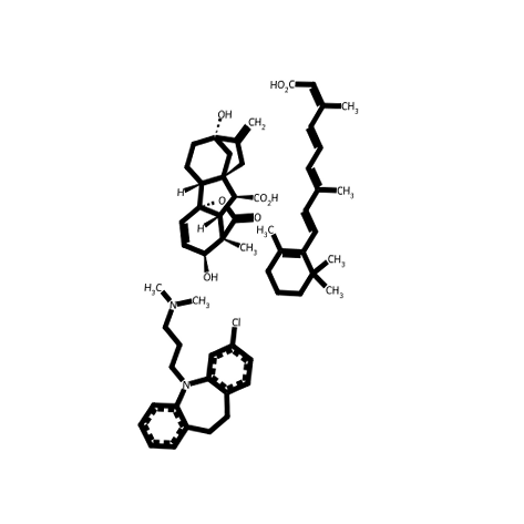 C=C1C[C@]23C[C@@]1(O)CC[C@H]2[C@@]12C=C[C@H](O)[C@@](C)(C(=O)O1)[C@H]2[C@@H]3C(=O)O.CC1=C(/C=C/C(C)=C/C=C/C(C)=C\C(=O)O)C(C)(C)CCC1.CN(C)CCCN1c2ccccc2CCc2ccc(Cl)cc21